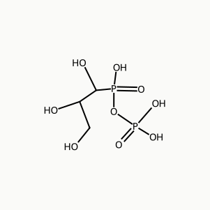 O=P(O)(O)OP(=O)(O)C(O)C(O)CO